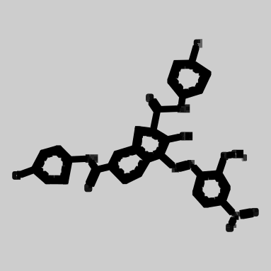 COc1cc([N+](=O)[O-])ccc1/N=N/c1c(O)c(C(=O)Nc2ccc(Cl)cc2)cc2cc(C(=O)Nc3ccc(Cl)cc3)ccc12